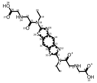 CCN(C(=O)CNCC(=O)O)c1nc2cc3nc(N(CC)C(=O)CNCC(=O)O)sc3cc2s1